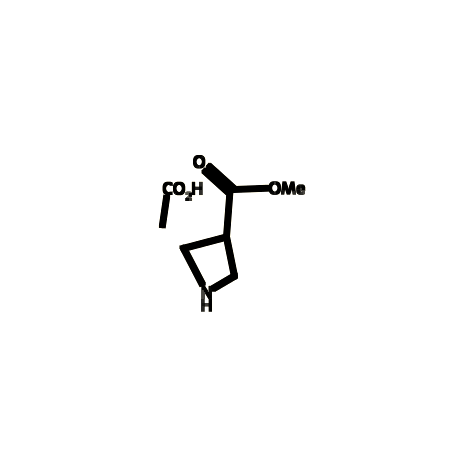 CC(=O)O.COC(=O)C1CNC1